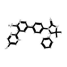 CC1(C)OC(=O)N(c2ccc(-c3cnc(N)c(-c4ncc(F)cn4)c3)cc2)[C@H]1c1ccccc1